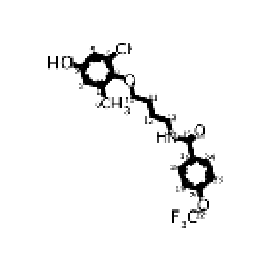 Cc1cc(O)cc(Cl)c1OCCCCNC(=O)c1ccc(OC(F)(F)F)cc1